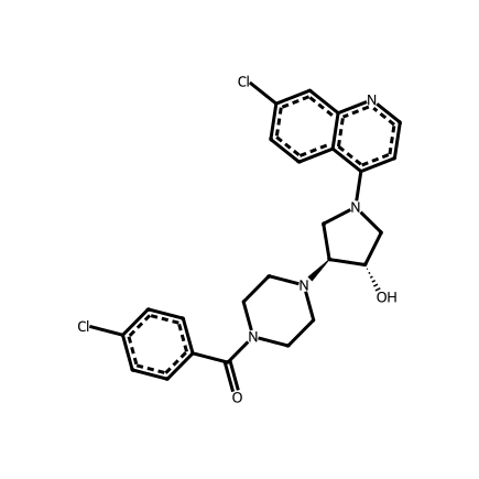 O=C(c1ccc(Cl)cc1)N1CCN([C@H]2CN(c3ccnc4cc(Cl)ccc34)C[C@@H]2O)CC1